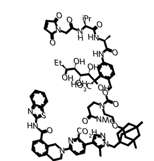 CC[C@H](O)[C@H](O)[C@@H](O)[C@H](O)[C@](O)(C(=O)O)c1cc(NC(=O)[C@H](C)NC(=O)[C@@H](NC(=O)CN2C(=O)C=CC2=O)C(C)C)ccc1COC(=O)N(CCOC12CC3(C)CC(C)(CC(Cn4ncc(-c5ccc(N6CCc7cccc(C(=O)Nc8nc9ccccc9s8)c7C6)nc5C(=O)O)c4C)(C3)C1)C2)CCC(=O)NC